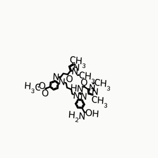 CCn1nc(C)cc1C(=O)Cc1nc2cc(C(=O)OC)ccc2n1CCCCn1c(NC(=O)c2cc(C)nn2CC)nc2cc(C(N)O)ccc21